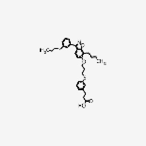 CCCCc1cccc(-c2noc3c(CCCC)c(OCCCSc4cccc(CCC(=O)O)c4)ccc23)c1